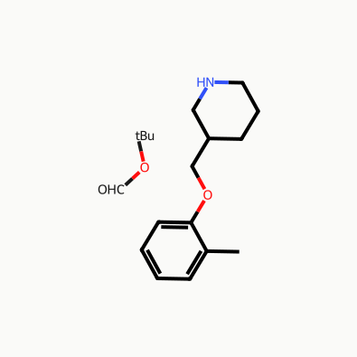 CC(C)(C)OC=O.Cc1ccccc1OCC1CCCNC1